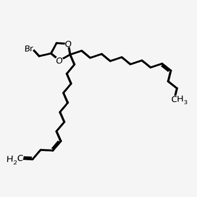 C=CC/C=C\CCCCCCCCC1(CCCCCCCC/C=C\CCC)OCC(CBr)O1